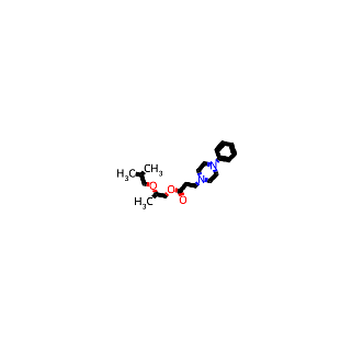 CC(C)COC(C)COC(=O)CCN1CCN(c2ccccc2)CC1